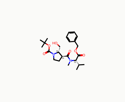 CC(C)[C@@H](C(=O)OCc1ccccc1)N(C)C(=O)[C@H]1CCN(C(=O)OC(C)(C)C)[C@@H]1CO